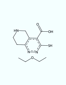 CCOCC.O=C(O)c1c(S)nnc2c1CNCC2